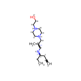 C#CC/C(CC)=N\C=C(/C)CN1CCN(CCO)CC1